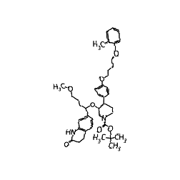 COCCCC(OC1CN(C(=O)OC(C)(C)C)CCC1c1ccc(OCCCCOc2ccccc2C)cc1)c1ccc2c(c1)NC(=O)CC2